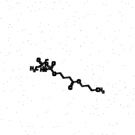 CCCCOC(=O)CCCOC(=O)NP(C)(C)=O